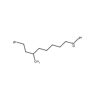 CC(C)CCC(C)CCCCCNC(C)C